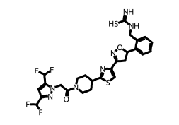 N=C(S)NCc1ccccc1C1CC(c2csc(C3CCN(C(=O)Cn4nc(C(F)F)cc4C(F)F)CC3)n2)=NO1